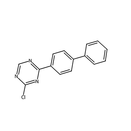 Clc1ncnc(-c2ccc(-c3ccccc3)cc2)n1